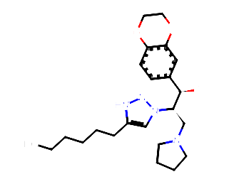 CCCCCCC1=CN([C@H](CN2CCCC2)[C@H](O)c2ccc3c(c2)OCCO3)NN1